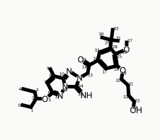 CCC(CC)Oc1cc(C)c2nn(CC(=O)c3cc(OCCCCO)c(OC)c(C(C)(C)C)c3)c(=N)n2n1